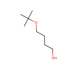 CC(C)(C)OCC[CH][CH]O